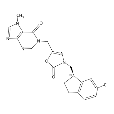 Cn1cnc2ncn(Cc3nn(C[C@@H]4CCc5ccc(Cl)cc54)c(=O)o3)c(=O)c21